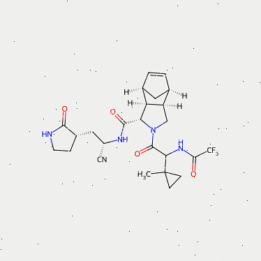 CC1(C(NC(=O)C(F)(F)F)C(=O)N2C[C@H]3[C@@H]([C@H]2C(=O)N[C@H](C#N)C[C@@H]2CCNC2=O)[C@H]2C=C[C@@H]3C2)CC1